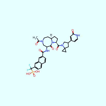 CC(=O)N1CC[C@H]2CC[C@@H](C(=O)N3CC(c4cc[nH]c(=O)c4)CC34CC4)N2C(=O)C(NC(=O)c2ccc3ccc(C(F)(F)P(=O)(O)O)cc3c2)C1